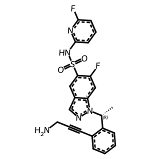 C[C@H](c1ccccc1C#CCN)n1ncc2cc(S(=O)(=O)Nc3cccc(F)n3)c(F)cc21